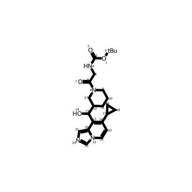 CC(C)(C)OC(=O)NCC(=O)N1CCCC(C(O)c2c(C3CC3)ccn3cncc23)C1